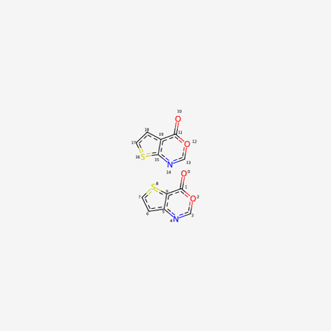 O=c1ocnc2ccsc12.O=c1ocnc2sccc12